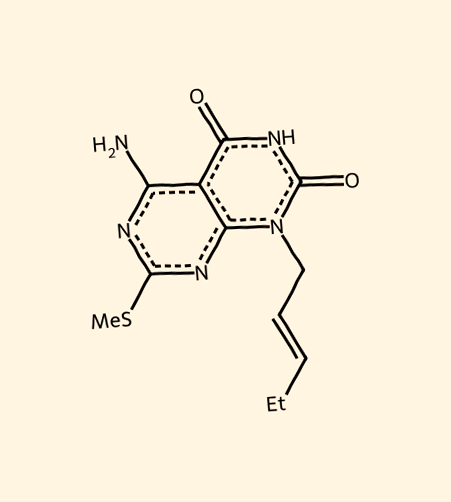 CCC=CCn1c(=O)[nH]c(=O)c2c(N)nc(SC)nc21